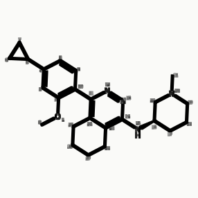 COc1cc(C2CC2)ccc1-c1nnc(N[C@@H]2CCCN(C)C2)c2c1CCCC2